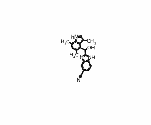 Cc1cc(C)c2[nH]cc(C)c2c1C(O)c1nc2cc(C#N)ccc2[nH]1